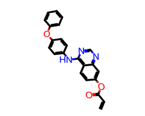 C=CC(=O)Oc1ccc2c(Nc3ccc(Oc4ccccc4)cc3)ncnc2c1